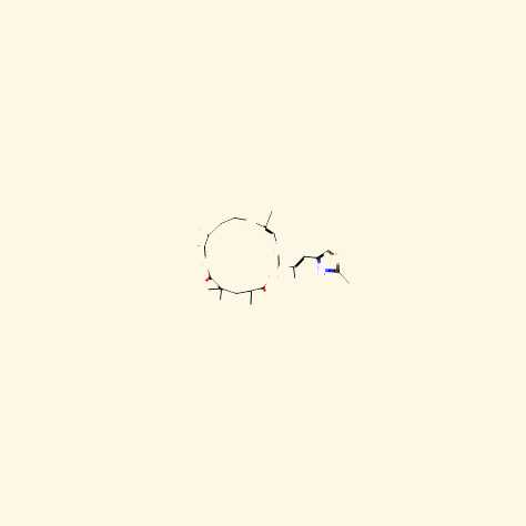 C/C1=C/C[C@@H](/C(C)=C/c2csc(C)n2)OC(=O)C(C)[C@H](O)C(C)(C)C(=O)C[C@@H](O)[C@@H](C)CCC1